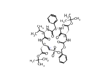 CC(C)[C@H](NC(=O)[C@@H](NC(=O)[C@H](CC(=O)OC(C)(C)C)NC(=O)OCc1ccccc1)c1ccccc1)C(=O)N[C@H](/C=C/S(C)(=O)=O)CC(=O)OC(C)(C)C